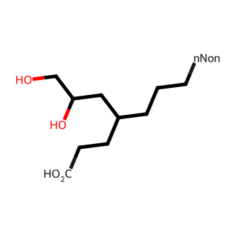 CCCCCCCCCCCCC(CCC(=O)O)CC(O)CO